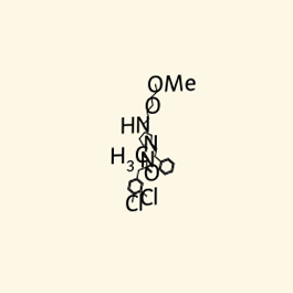 COCCOCCN[C@H]1CCN(CC(c2ccccc2)N(C)C(=O)Cc2ccc(Cl)c(Cl)c2)C1